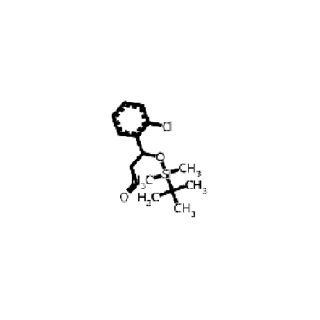 CC(C)(C)[Si](C)(C)OC(CC=O)c1ccccc1Cl